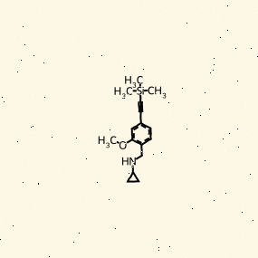 COc1cc(C#C[Si](C)(C)C)ccc1CNC1CC1